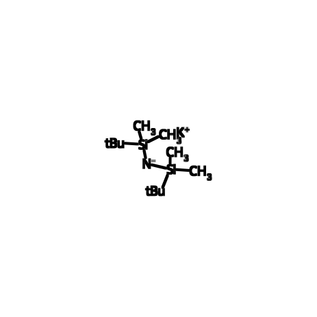 CC(C)(C)[Si](C)(C)[N-][Si](C)(C)C(C)(C)C.[K+]